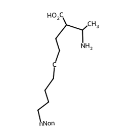 CCCCCCCCCCCCCCCCC(C(=O)O)C(C)N